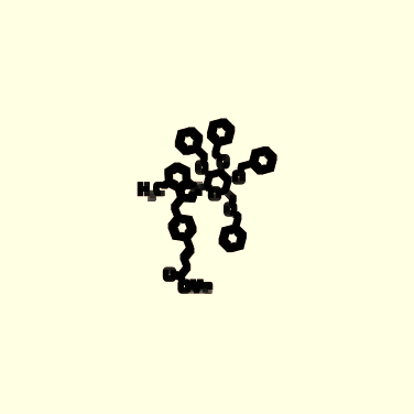 COC(=O)C/C=C/c1ccc(Cc2cn([C@@H]3O[C@H](COCc4ccccc4)[C@@H](OCc4ccccc4)[C@H](OCc4ccccc4)[C@H]3OCc3ccccc3)c3cccc(C)c23)cc1